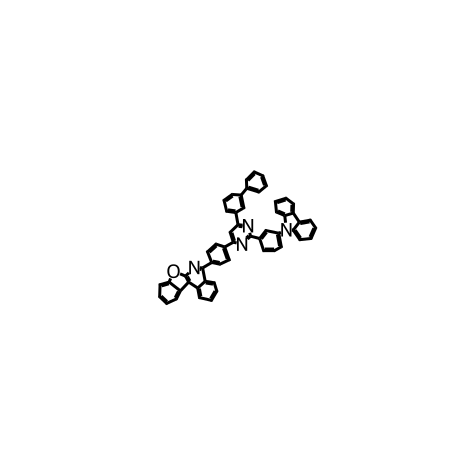 c1ccc(-c2cccc(-c3cc(-c4ccc(-c5nc6oc7ccccc7c6c6ccccc56)cc4)nc(-c4cccc(-n5c6ccccc6c6ccccc65)c4)n3)c2)cc1